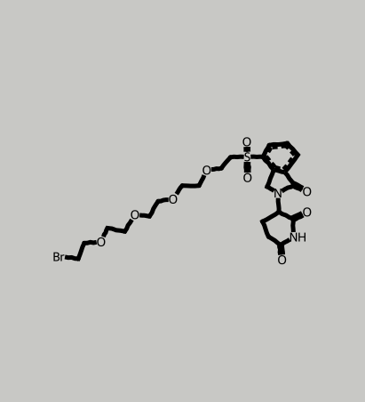 O=C1CCC(N2Cc3c(cccc3S(=O)(=O)CCOCCOCCOCCOCCBr)C2=O)C(=O)N1